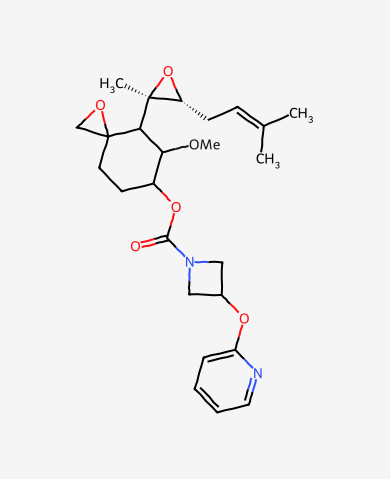 COC1C(OC(=O)N2CC(Oc3ccccn3)C2)CCC2(CO2)C1[C@@]1(C)O[C@@H]1CC=C(C)C